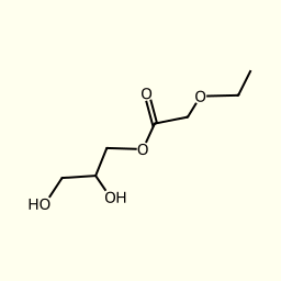 CCOCC(=O)OCC(O)CO